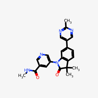 CNC(=O)c1cncc(N2C(=O)C(C)(C)c3ccc(-c4cnc(C)nc4)cc32)c1